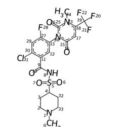 CN1CCC(S(=O)(=O)NC(=O)c2cc(-n3c(=O)cc(C(F)(F)F)n(C)c3=O)c(F)cc2Cl)CC1